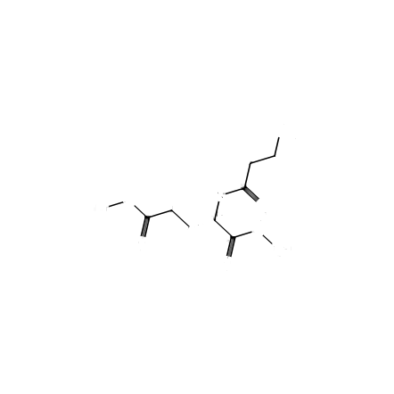 CCCCOC(=O)CC[C@H](NC(=O)CCC(=O)O)C(=O)OCCCC